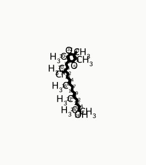 CC1=C(C)C(=O)C(CCC(C)(Cl)CC/C=C(\C)CC/C=C(\C)CCCC(C)(C)O)=C(C)C1=O